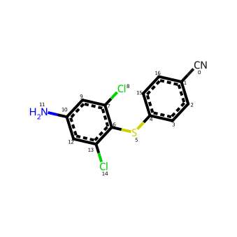 N#Cc1ccc(Sc2c(Cl)cc(N)cc2Cl)cc1